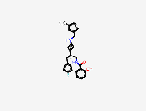 O=C(NC[C@@H](Cc1ccc(F)cc1)C12CC(NCc3cccc(C(F)(F)F)c3)(C1)C2)c1ccccc1O